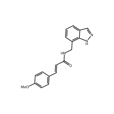 COc1ccc(/C=C/C(=O)NCc2cccc3cn[nH]c23)cc1